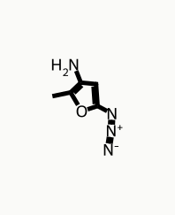 Cc1oc(N=[N+]=[N-])cc1N